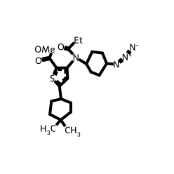 CCC(=O)N(c1cc(C2CCC(C)(C)CC2)sc1C(=O)OC)C1CCC(N=[N+]=[N-])CC1